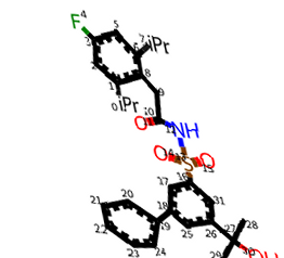 CC(C)c1cc(F)cc(C(C)C)c1CC(=O)NS(=O)(=O)c1cc(-c2ccccc2)cc(C(C)(C)O)c1